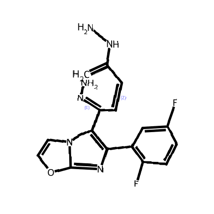 C=C(/C=C\C(=N/N)c1c(-c2cc(F)ccc2F)nc2occn12)NN